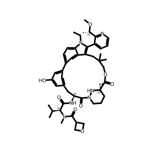 CCn1c(-c2cccnc2[C@H](C)OC)c2c3cc(ccc31)-c1cc(O)cc(c1)C[C@H](NC(=O)[C@H](C(C)C)N(C)C(=O)C1COC1)C(=O)N1CCC[C@H](N1)C(=O)OCC(C)(C)C2